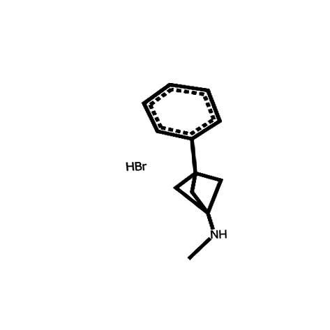 Br.CNC12CC(c3ccccc3)(C1)C2